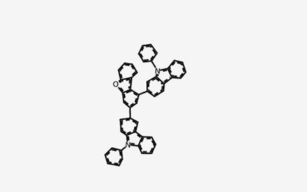 c1ccc(-n2c3ccccc3c3cc(-c4cc(-c5ccc6c7ccccc7n(-c7ccccc7)c6c5)c5c(c4)oc4ccccc45)ccc32)cc1